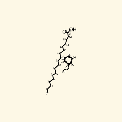 CCCCCCCCCCCCCCCCCC(=O)O.COc1ccccc1